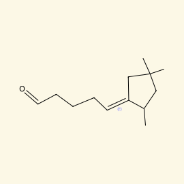 CC1CC(C)(C)C/C1=C\CCCC=O